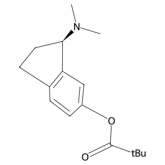 CN(C)[C@@H]1CCc2ccc(OC(=O)C(C)(C)C)cc21